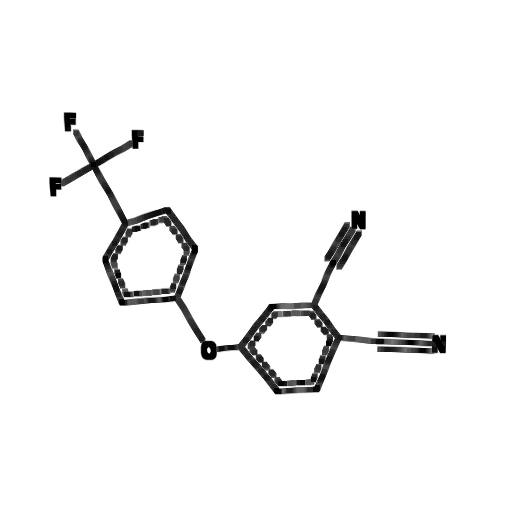 N#Cc1ccc(Oc2ccc(C(F)(F)F)cc2)cc1C#N